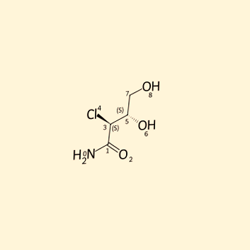 NC(=O)[C@@H](Cl)[C@@H](O)CO